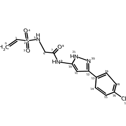 C=CS(=O)(=O)NCC(=O)Nc1cc(-c2ccc(Cl)cc2)n[nH]1